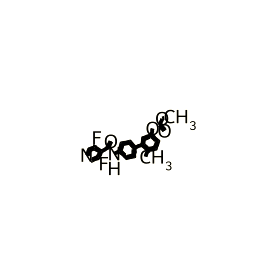 COC(=O)Oc1ccc(C)c(-c2ccc(NC(=O)c3c(F)cncc3F)cc2)c1